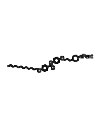 C=CCCCCCCCCCCOc1ccc(C(=O)Oc2ccc(OCCCC3CCC(CCCCC)CC3)cc2)cc1